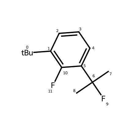 CC(C)(C)c1cccc(C(C)(C)F)c1F